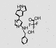 O=C(O)C(F)(F)F.O[C@@H](CNc1cc(-c2ccc3[nH]ccc3c2)ncn1)c1ccccc1